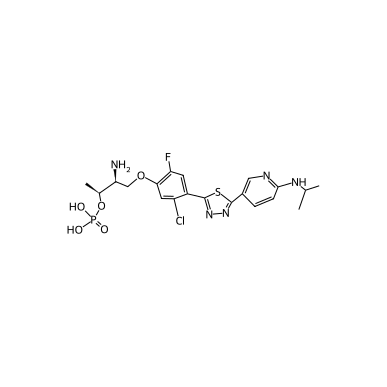 CC(C)Nc1ccc(-c2nnc(-c3cc(F)c(OC[C@H](N)[C@H](C)OP(=O)(O)O)cc3Cl)s2)cn1